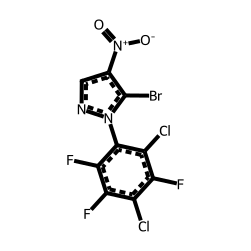 O=[N+]([O-])c1cnn(-c2c(F)c(F)c(Cl)c(F)c2Cl)c1Br